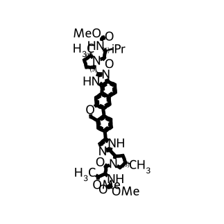 COC(=O)NC(C(=O)N1C[C@@H](C)CC1c1ncc(-c2ccc3c(c2)COc2cc4c(ccc5nc([C@@H]6CC[C@H](C)N6C(=O)[C@@H](NC(=O)OC)C(C)C)[nH]c54)cc2-3)[nH]1)C(C)OC